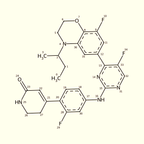 CCC(C)N1CCOc2c(F)cc(-c3nc(Nc4ccc(C5=CC(=O)NCC5)c(F)c4)ncc3F)cc21